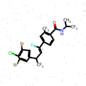 CC(NC(=O)c1ccc(/C(F)=C/C(c2cc(Br)c(Cl)c(Br)c2)C(F)(F)F)cc1C(F)(F)F)C(F)(F)F